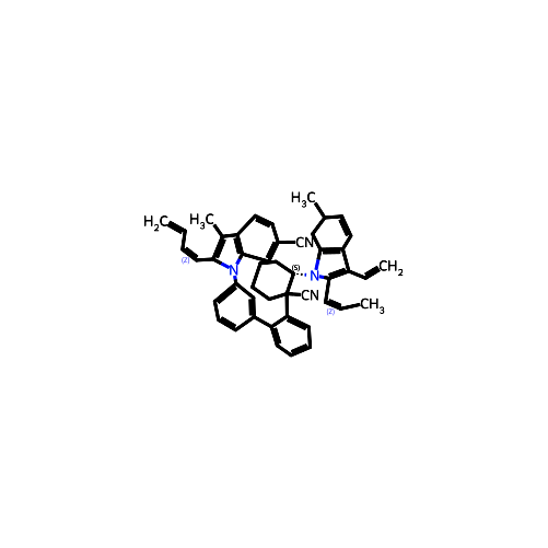 C=C/C=C\c1c(C)c2ccc(C#N)cc2n1-c1cccc(-c2ccccc2C2(C#N)CCCC[C@@H]2n2c(/C=C\C)c(C=C)c3c2CC(C)C=C3)c1